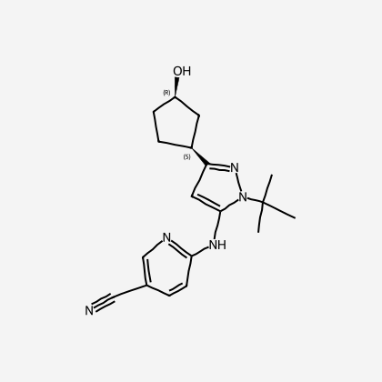 CC(C)(C)n1nc([C@H]2CC[C@@H](O)C2)cc1Nc1ccc(C#N)cn1